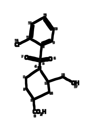 O=C(O)C1CCN(S(=O)(=O)c2ccccc2Cl)C(CO)C1